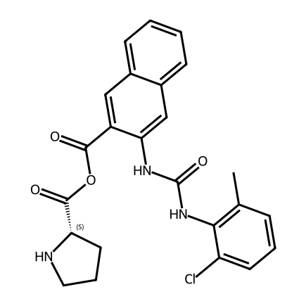 Cc1cccc(Cl)c1NC(=O)Nc1cc2ccccc2cc1C(=O)OC(=O)[C@@H]1CCCN1